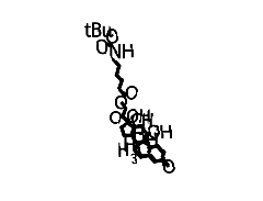 CC(C)(C)OC(=O)NCCCCCC(=O)OCC(=O)[C@@]1(O)CC[C@H]2[C@@H]3CCC4=CC(=O)C=C[C@]4(C)[C@H]3[C@@H](O)C[C@@]21C